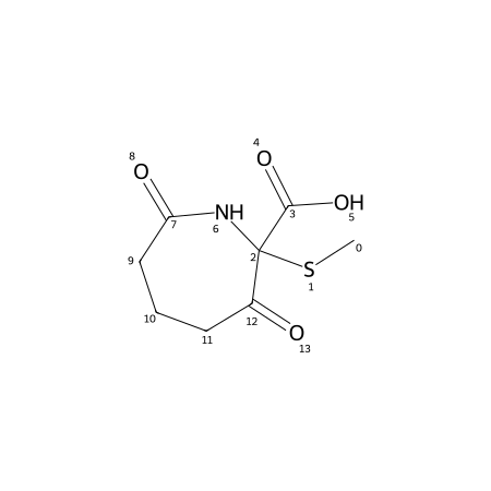 CSC1(C(=O)O)NC(=O)CCCC1=O